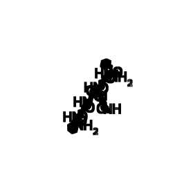 CNC(=O)CCSSC[C@H](NC(=O)CCCC(=O)N[C@H](Cc1ccccc1)C(N)=O)C(=O)NCCNC(=O)CCCC(=O)N[C@H](Cc1ccccc1)C(N)=O